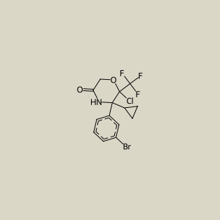 O=C1COC(Cl)(C(F)(F)F)C(c2cccc(Br)c2)(C2CC2)N1